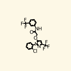 O=C(COc1cc(C(F)(F)F)nn1-c1ccccc1Cl)Nc1cccc(C(F)(F)F)c1